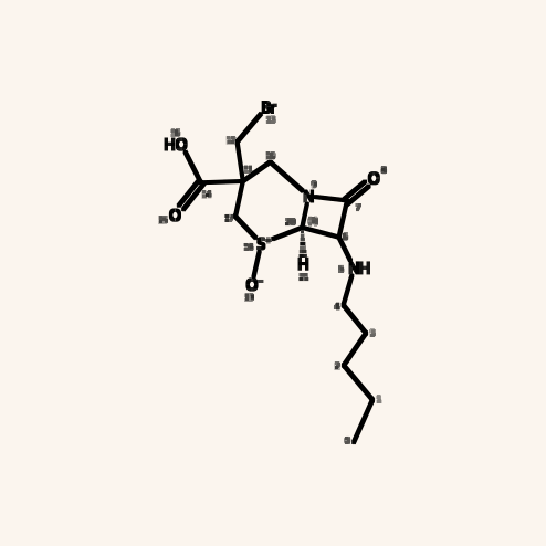 CCCCCNC1C(=O)N2CC(CBr)(C(=O)O)C[S+]([O-])[C@H]12